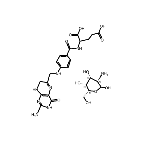 N[C@H]1C(O)O[C@H](CO)[C@H](O)[C@@H]1O.Nc1nc2c(c(=O)[nH]1)N=C(CNc1ccc(C(=O)NC(CCC(=O)O)C(=O)O)cc1)CN2